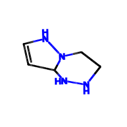 C1=CC2NNCCN2N1